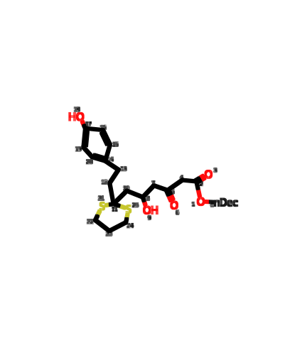 CCCCCCCCCCOC(=O)CC(=O)CC(O)CC1(CCc2ccc(O)cc2)SCCCS1